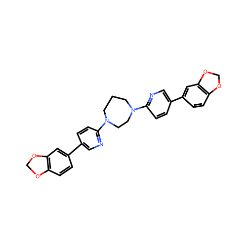 c1cc(N2CCCN(c3ccc(-c4ccc5c(c4)OCO5)cn3)CC2)ncc1-c1ccc2c(c1)OCO2